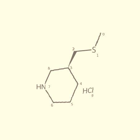 CSC[C@H]1CCCNC1.Cl